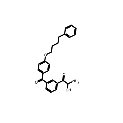 NC(O)C(=O)c1cccc(C(=O)c2ccc(OCCCCc3ccccc3)cc2)c1